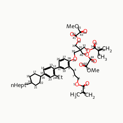 C=C(C)C(=O)OCCCc1cc(-c2ccc(C3CCC(CCCCCCC)CC3)cc2CC)ccc1OCC(COC(=O)C(=C)C)(COC(=O)C(=O)OC)COC(=O)C(=O)OC